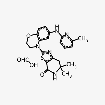 Cc1cccc(Nc2ccc3c(c2)N(c2nc4c(s2)C(=O)NC(C)(C)C4)CCO3)n1.O=CO